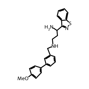 COc1ccc(-c2cccc(CNCCC(N)c3nsc4ccccc34)c2)cc1